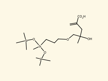 C=C(CC(C)(O)COCCC[Si](C)(O[Si](C)(C)C)O[Si](C)(C)C)C(=O)O